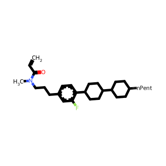 C=CC(=O)N(C)CCCc1ccc(C2CCC(C3CCC(CCCCC)CC3)CC2)c(F)c1